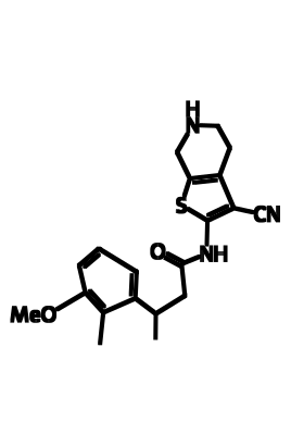 COc1cccc(C(C)CC(=O)Nc2sc3c(c2C#N)CCNC3)c1C